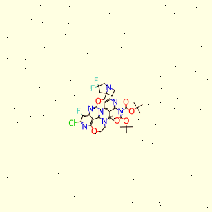 C[C@H](c1cccnc1N(C(=O)OC(C)(C)C)C(=O)OC(C)(C)C)N1CCOc2nc(Cl)c(F)c3nc(OCC45CCN4CC(F)(F)C5)nc1c23